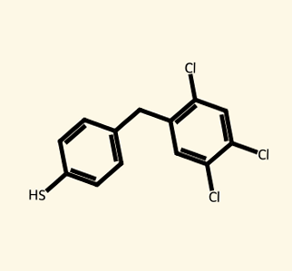 Sc1ccc(Cc2cc(Cl)c(Cl)cc2Cl)cc1